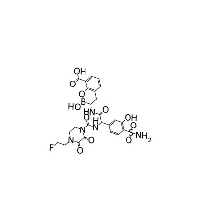 NS(=O)(=O)c1ccc(C(NC(=O)N2CCN(CCF)C(=O)C2=O)C(=O)N[C@H]2Cc3cccc(C(=O)O)c3OB2O)cc1O